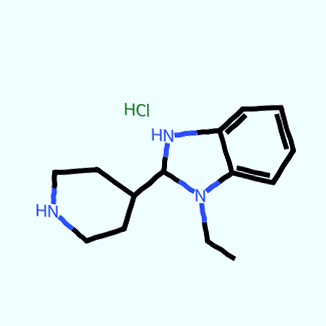 CCN1c2ccccc2NC1C1CCNCC1.Cl